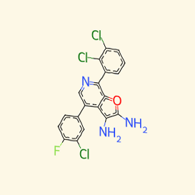 Nc1oc2c(-c3cccc(Cl)c3Cl)ncc(-c3ccc(F)c(Cl)c3)c2c1N